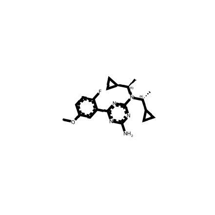 COc1ccc(F)c(-c2nc(N)nc(N([C@H](C)C3CC3)[C@H](C)C3CC3)n2)c1